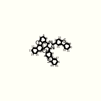 CCC1C(c2cccc3oc4c5ccccc5ccc4c23)=NC(c2ccc3sc4ccccc4c3c2)=NC1c1ccc2sc3ccccc3c2c1